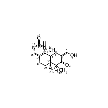 CC1(C)C(=O)/C(=C\O)C[C@]2(C)c3[nH]c(=O)ncc3CC[C@@H]12